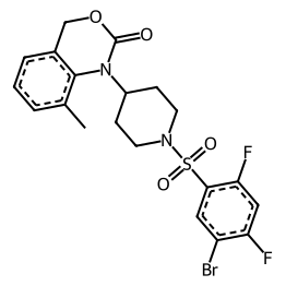 Cc1cccc2c1N(C1CCN(S(=O)(=O)c3cc(Br)c(F)cc3F)CC1)C(=O)OC2